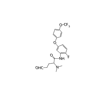 CN(C)C(CCC=O)C(=O)Nc1cc(Oc2ccc(OC(F)(F)F)cc2)ccc1F